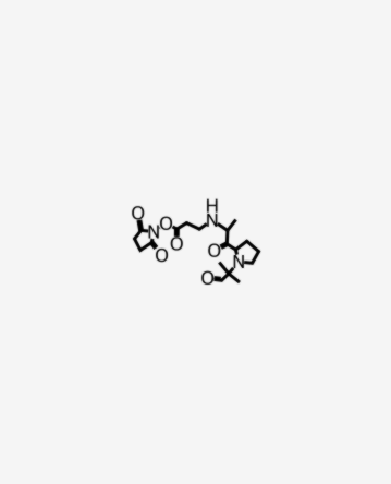 CC(NCCC(=O)ON1C(=O)CCC1=O)C(=O)C1CCCN1C(C)(C)C=O